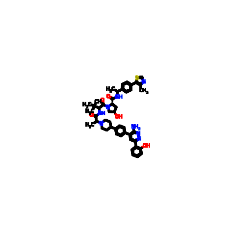 Cc1ncsc1-c1ccc(C(C)NC(=O)[C@@H]2C[C@@H](O)CN2C(=O)C(NC(=O)C(C)N2CCC(c3ccc(-c4cc(-c5ccccc5O)nnc4N)cc3)CC2)C(C)(C)C)cc1